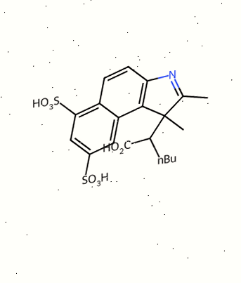 CCCCC(C(=O)O)C1(C)C(C)=Nc2ccc3c(S(=O)(=O)O)cc(S(=O)(=O)O)cc3c21